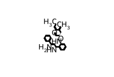 C/C=C(\C=C/CC)C[C@@H](C=O)ONc1ccccc1C(=N)/C=C(\N)c1ccccc1